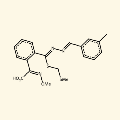 CON=C(C(=O)O)c1ccccc1C(=NN=Cc1cccc(C)c1)SCSC